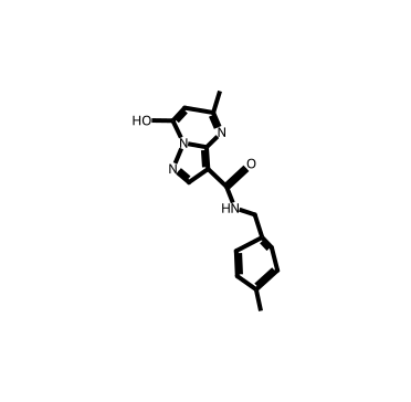 Cc1ccc(CNC(=O)c2cnn3c(O)cc(C)nc23)cc1